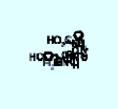 C[C@@H](NC(=O)[C@@H](N)Cc1ccc(O)cc1)C(=O)NCC(=O)N(C)[C@@H](Cc1ccccc1)C(=O)NCC(=O)O